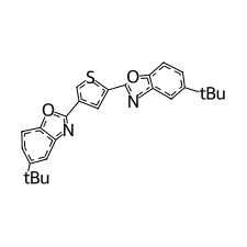 CC(C)(C)c1ccc2oc(-c3csc(-c4nc5cc(C(C)(C)C)ccc5o4)c3)nc2c1